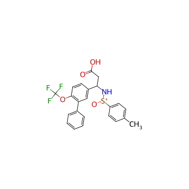 Cc1ccc([S@@+]([O-])NC(CC(=O)O)c2ccc(OC(F)(F)F)c(-c3ccccc3)c2)cc1